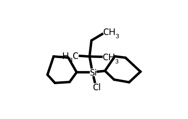 CCC(C)(C)[Si](Cl)(C1CCCCC1)C1CCCCC1